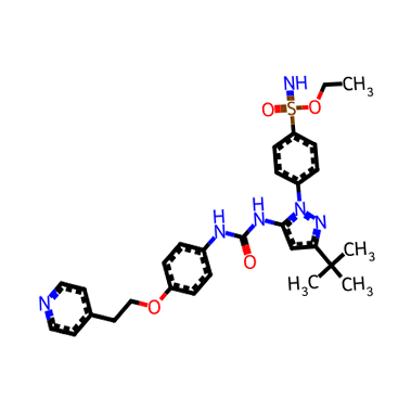 CCOS(=N)(=O)c1ccc(-n2nc(C(C)(C)C)cc2NC(=O)Nc2ccc(OCCc3ccncc3)cc2)cc1